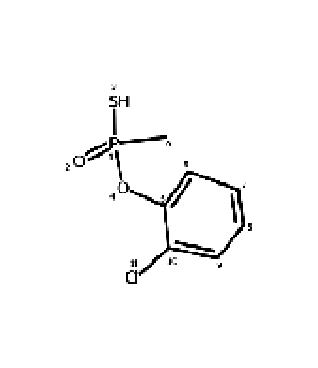 CP(=O)(S)Oc1ccccc1Cl